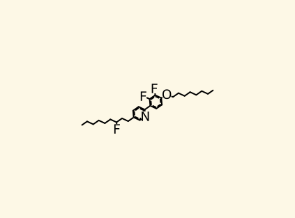 CCCCCCCCOc1ccc(-c2ccc(CCC(F)CCCCCC)cn2)c(F)c1F